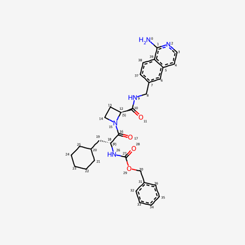 Nc1nccc2cc(CNC(=O)[C@@H]3CCN3C(=O)[C@@H](CC3CCCCC3)NC(=O)OCc3ccccc3)ccc12